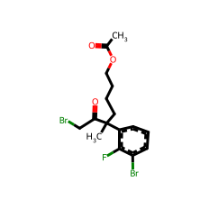 CC(=O)OCCCCC(C)(C(=O)CBr)c1cccc(Br)c1F